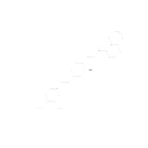 CC[C@H]1CN(CCc2ccc(OC)c(OC)c2)CCC1CCC(=O)c1ccnc2ccccc12